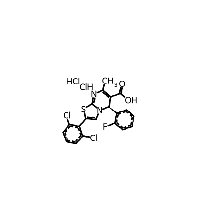 CC1=C(C(=O)O)[C@@H](c2ccccc2F)N2C=C(c3c(Cl)cccc3Cl)SC2=N1.Cl.Cl